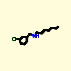 CCCC/C=C/CNCc1cccc(Cl)c1